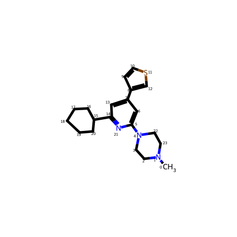 CN1CCN(c2cc(-c3ccsc3)cc(C3CCCCC3)n2)CC1